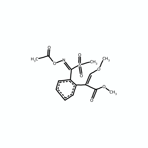 CO/C=C(\C(=O)OC)c1ccccc1/C(=N\OC(C)=O)S(C)(=O)=O